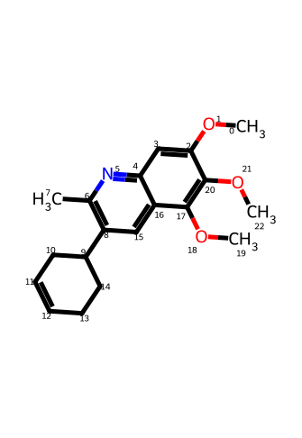 COc1cc2nc(C)c(C3CC=CCC3)cc2c(OC)c1OC